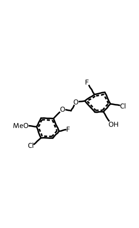 COc1cc(OCOc2cc(O)c(Cl)cc2F)c(F)cc1Cl